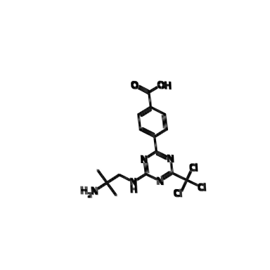 CC(C)(N)CNc1nc(-c2ccc(C(=O)O)cc2)nc(C(Cl)(Cl)Cl)n1